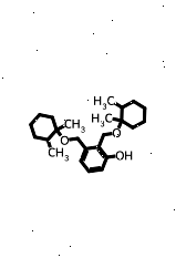 CC1CCCCC1(C)OCc1cccc(O)c1COC1(C)CCCCC1C